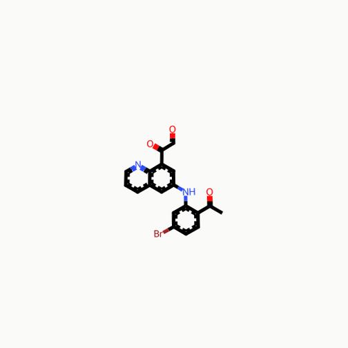 CC(=O)c1ccc(Br)cc1Nc1cc(C(=O)C=O)c2ncccc2c1